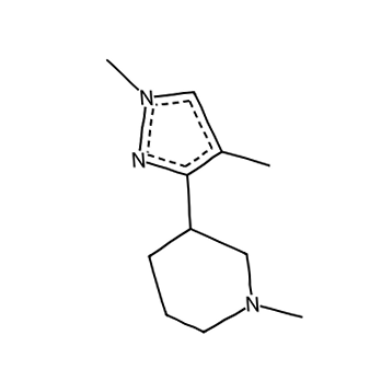 Cc1cn(C)nc1C1CCCN(C)C1